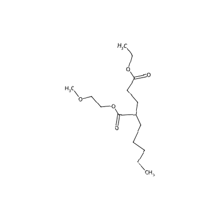 CCCCCC(CCC(=O)OCC)C(=O)OCCOC